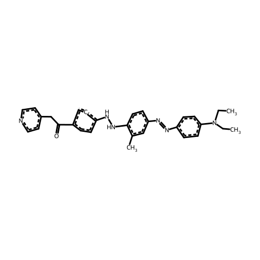 CCN(CC)c1ccc(N=Nc2ccc(NNc3ccc(C(=O)Cc4ccncc4)cc3)c(C)c2)cc1